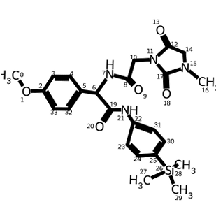 COc1ccc(C(NC(=O)CN2C(=O)CN(C)C2=O)C(=O)Nc2ccc([Si](C)(C)C)cc2)cc1